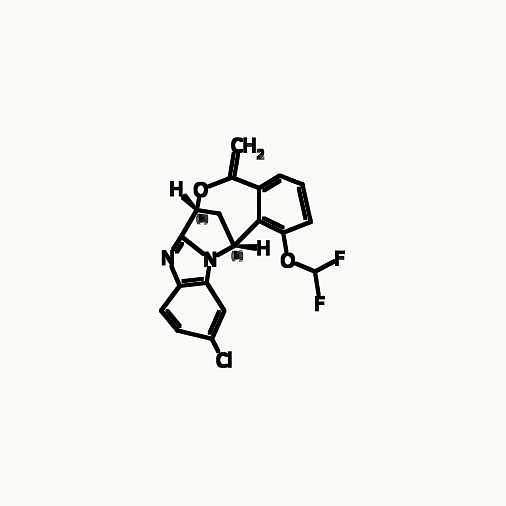 C=C1O[C@@H]2C[C@H](c3c(OC(F)F)cccc31)n1c2nc2ccc(Cl)cc21